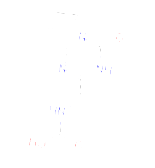 O=C(O)NCc1nc2cccn2c(=O)[nH]1